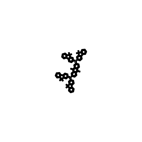 Cc1c2ccc(N(c3ccc4c(c3)C(C)(C)c3ccccc3-4)c3ccc4c(c3)C(C)(C)c3ccccc3-4)cc2c(C)c2cc(N(c3ccc4c(c3)C(C)(C)c3ccccc3-4)c3ccc4c(c3)C(C)(C)c3ccccc3-4)ccc12